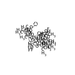 C[C@@H](OC(=O)[C@H](CC(C)(C)C)N(C)C(=O)[C@@H](Cc1ccc(OC(F)(F)F)cc1)OC(=O)[C@H](CC(C)(C)F)N(C)C(=O)[C@@H](C)OC(=O)[C@H](CC(C)(C)C)N(C)C(=O)[C@@H](Cc1ccc(OC(F)(F)F)cc1)OC(=O)[C@H](CC(C)(C)F)N(C)C(=O)OC(C)(C)C)C(=O)OCc1ccccc1